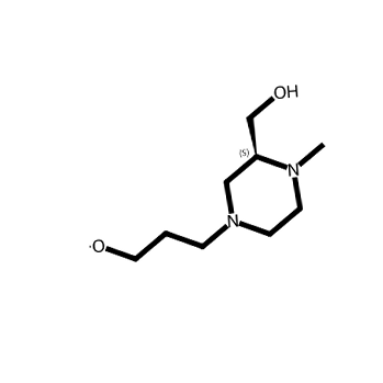 CN1CCN(CCC[O])C[C@H]1CO